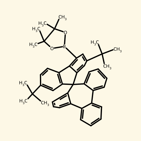 CC(C)(C)c1ccc2c(c1)C1(c3ccccc3-c3ccccc3-c3ccccc31)c1cc(C(C)(C)C)cc(B3OC(C)(C)C(C)(C)O3)c1-2